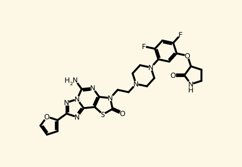 Nc1nc2c(sc(=O)n2CCN2CCN(c3cc(OC4CCNC4=O)c(F)cc3F)CC2)c2nc(-c3ccco3)nn12